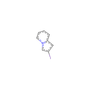 Ic1cc2ccccn2c1